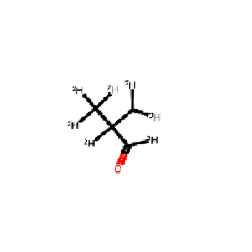 [2H]C(=O)C([2H])(C([2H])[2H])C([2H])([2H])[2H]